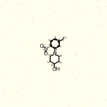 O=[N+]([O-])c1ccc(F)cc1N1CCC(O)CC1